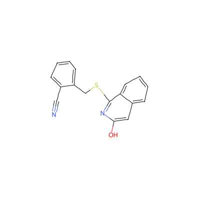 N#Cc1ccccc1CSc1nc(O)cc2ccccc12